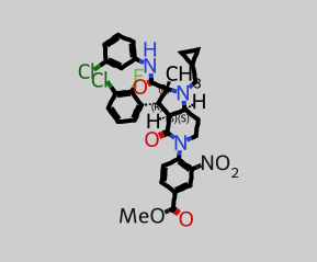 COC(=O)c1ccc(N2CC[C@H]3[C@@H](C2=O)[C@H](c2cccc(Cl)c2F)[C@](C)(C(=O)Nc2cccc(Cl)c2)N3CC2CC2)c([N+](=O)[O-])c1